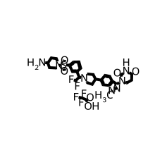 Cn1nc(N2CCC(=O)NC2=O)c2ccc(C3CCN(C(c4cccc(S(=O)(=O)N5CCC(N)CC5)c4)C(F)F)CC3)cc21.O=C(O)C(F)(F)F